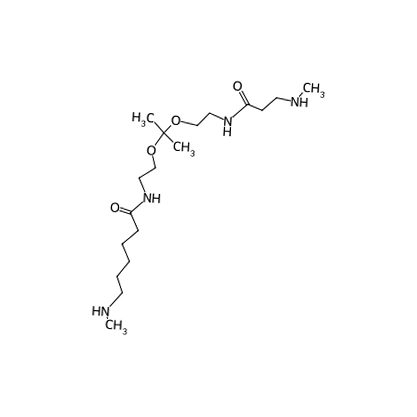 CNCCCCCC(=O)NCCOC(C)(C)OCCNC(=O)CCNC